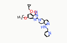 COc1cc(OCC2CC2)c2c(=O)[nH]c(N3CCc4c(ccnc4NCc4ccccn4)C3)nc2c1